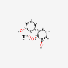 [O-]c1ccccc1[O-].[O-]c1ccccc1[O-].[Ti+4]